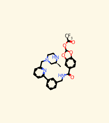 C[C@H]1CN(Cc2cccc(-c3cccc(CNC(=O)c4ccc5c(c4)OC(OC(=O)C(F)(F)F)O5)c3)n2)CCN1